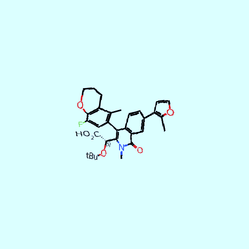 Cc1occc1-c1ccc2c(-c3cc(F)c4c(c3C)CCCO4)c([C@H](OC(C)(C)C)C(=O)O)n(C)c(=O)c2c1